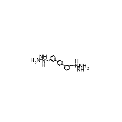 N=C(N)NCCc1cccc(-c2ccc(-c3cccc(CCNC(=N)N)c3)cc2)c1